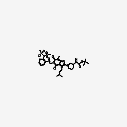 CC(C)=CCn1c(N2CCCC(NC(=O)OC(C)(C)C)C2)nc2c1c(=O)n(CC(=O)c1ccccc1N(S(C)(=O)=O)S(C)(=O)=O)c(=O)n2C